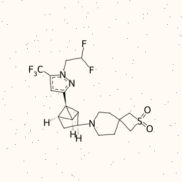 O=S1(=O)CC2(CCN([C@H]3C[C@@H]4[C@@H]5C3[C@@]45c3cc(C(F)(F)F)n(CC(F)F)n3)CC2)C1